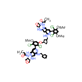 C=CC(=O)N[C@H]1COC[C@H]1Nc1cc2c(NCC3CCC(COc4cc(OC)c(Cl)c(-c5cc6cnc(N[C@@H]7COC[C@@H]7NC(=O)C=C)cc6c(NCc6ccccc6)n5)c4Cl)C3)nc(-c3c(Cl)c(OC)cc(OC)c3Cl)cc2cn1